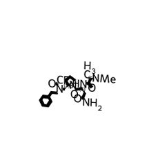 CN[C@@H](C)C(=O)N[C@@H](CC(N)=O)C(=O)N1CCC[C@H]1CN(CCc1ccccc1)C(=O)C(F)(F)F